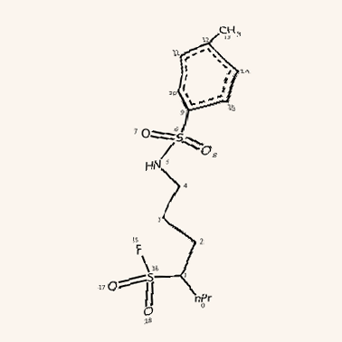 CCCC(CCCNS(=O)(=O)c1ccc(C)cc1)S(=O)(=O)F